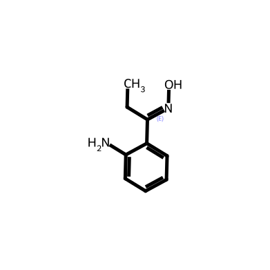 CC/C(=N\O)c1ccccc1N